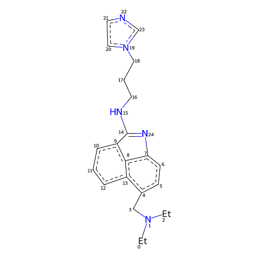 CCN(CC)Cc1ccc2c3c(cccc13)C(NCCCn1ccnc1)=N2